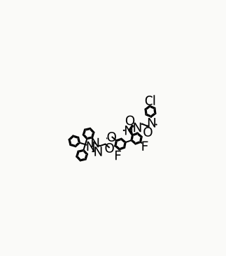 COc1cc(-c2cc(F)cc3c2n(C)c(=O)n3CC(=O)N(C)c2ccc(Cl)cc2)cc(F)c1OCc1ncn(C(c2ccccc2)(c2ccccc2)c2ccccc2)n1